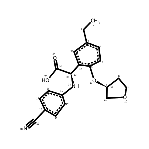 CCc1ccc(O[C@H]2CCOC2)c([C@@H](Nc2ccc(C#N)cc2)C(=O)O)c1